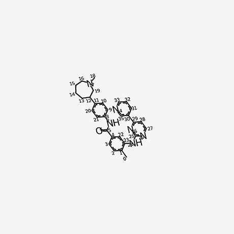 Cc1ccc(C(=O)Nc2ccc(C3CCCCN(C)C3)cc2)cc1Nc1nccc(-c2cccnc2)n1